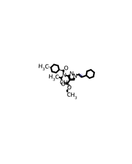 CCOC(=O)c1cn(/C=C/C2CCCCC2)nc1N(C(=O)[C@H]1CC[C@H](C)CC1)C(C)C